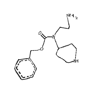 NCCN(C(=O)OCc1ccccc1)C1CCNCC1